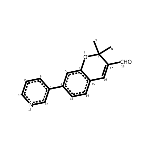 CC1(C)Oc2cc(-c3cccnc3)ccc2C=C1C=O